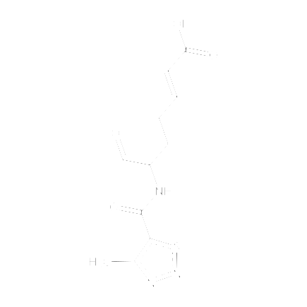 Cc1nnsc1C(=O)NC(C=O)CCC=CC(=O)O